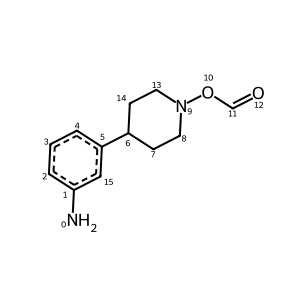 Nc1cccc(C2CCN(OC=O)CC2)c1